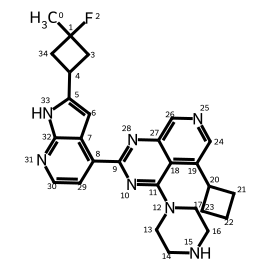 CC1(F)CC(c2cc3c(-c4nc(N5CCNCC5)c5c(C6CCC6)cncc5n4)ccnc3[nH]2)C1